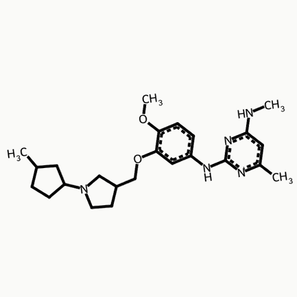 CNc1cc(C)nc(Nc2ccc(OC)c(OCC3CCN(C4CCC(C)C4)C3)c2)n1